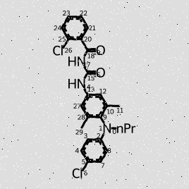 CCCN(c1ccc(Cl)cc1)c1c(C)cc(NC(=O)NC(=O)c2ccccc2Cl)cc1C